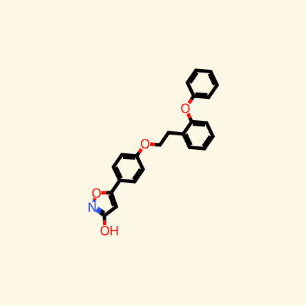 Oc1cc(-c2ccc(OCCc3ccccc3Oc3ccccc3)cc2)on1